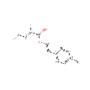 CCC=C(C)C(=O)OC=Cc1ccc(C)cc1